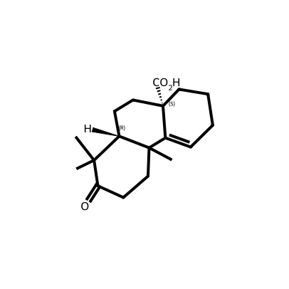 CC1(C)C(=O)CCC2(C)C3=CCCC[C@]3(C(=O)O)CC[C@@H]12